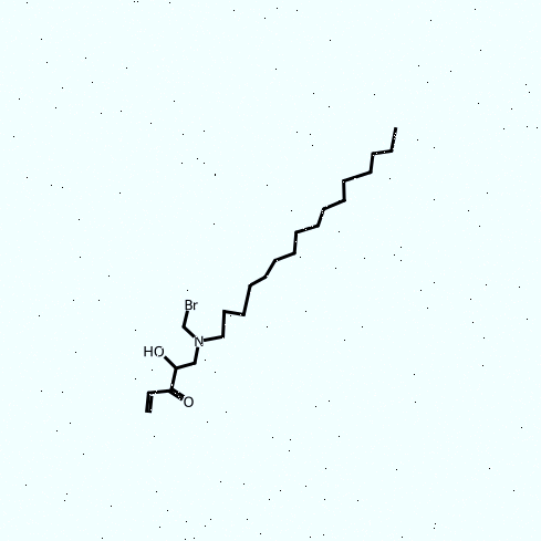 C=CC(=O)C(O)CN(CBr)CCCCCCCCCCCCCCCC